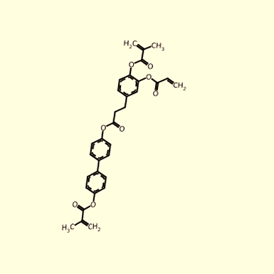 C=CC(=O)Oc1cc(CCC(=O)Oc2ccc(-c3ccc(OC(=O)C(=C)C)cc3)cc2)ccc1OC(=O)C(=C)C